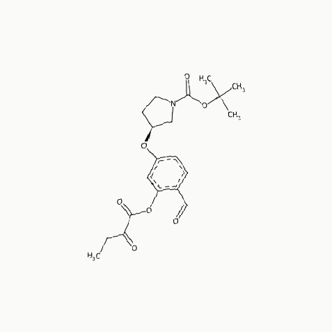 CCC(=O)C(=O)Oc1cc(O[C@H]2CCN(C(=O)OC(C)(C)C)C2)ccc1C=O